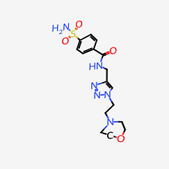 NS(=O)(=O)c1ccc(C(=O)NCc2cn(CCN3CCOCC3)nn2)cc1